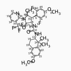 COc1cc(F)c([C@H]2C(NC(=O)NC3CCc4cc(OC)ccc4C3(C)C)C(=O)N(c3ncccc3C(F)(F)F)[C@H]2C)c(F)c1